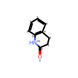 O=C1CCc2[c]cccc2N1